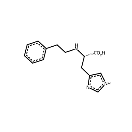 O=C(O)[C@H](Cc1c[nH]cn1)NCCc1ccccc1